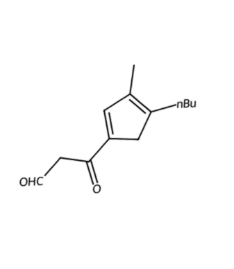 CCCCC1=C(C)C=C(C(=O)CC=O)C1